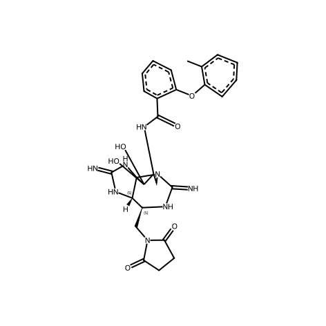 Cc1ccccc1Oc1ccccc1C(=O)NC1CN2C(=N)N[C@@H](CN3C(=O)CCC3=O)[C@@H]3NC(=N)NC32C1(O)O